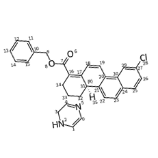 C1=CNCC=N1.O=C(OCc1ccccc1)C1=C2C=Cc3c(ccc4ccc(Cl)cc34)[C@H]2CCC1